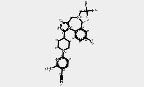 Cc1nc(N2CCC(c3nnc4n3-c3ccc(Cl)cc3CN(CC(F)(F)F)C4)CC2)ccc1C#N